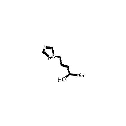 CC(C)(C)C(O)/C=C/Cn1cncn1